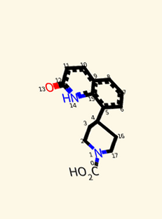 O=C(O)N1CCC(c2cccc3ccc(=O)[nH]c23)CC1